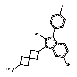 CC(C)c1c(C2CC3(CC(C(=O)O)C3)C2)c2cc(O)ccc2n1-c1ccc(F)cc1